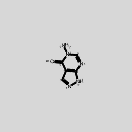 Nn1cnc2[nH]ncc2c1=O